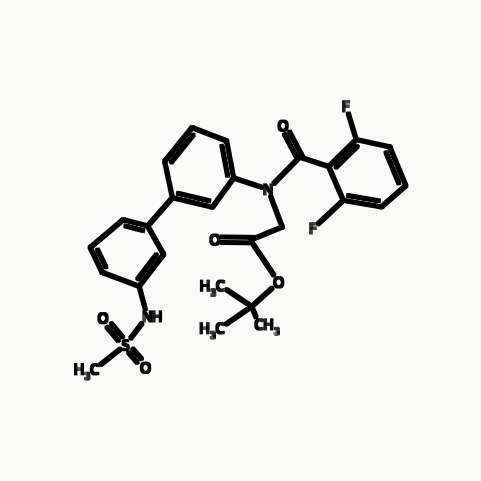 CC(C)(C)OC(=O)CN(C(=O)c1c(F)cccc1F)c1cccc(-c2cccc(NS(C)(=O)=O)c2)c1